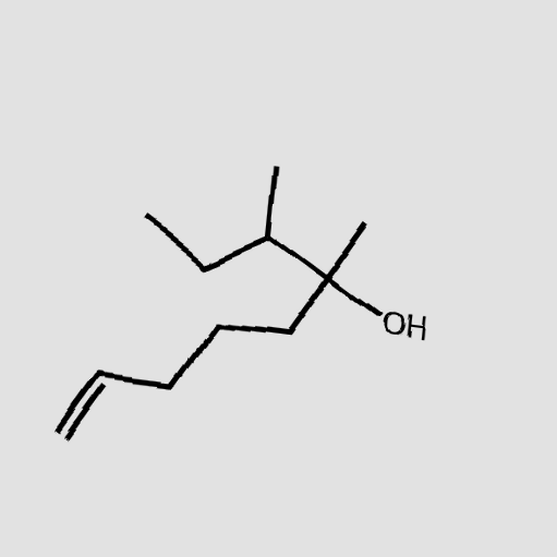 C=CCCCC(C)(O)C(C)CC